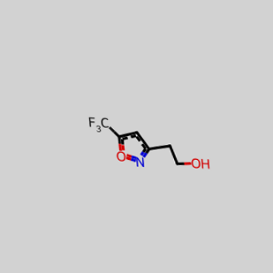 OCCc1cc(C(F)(F)F)on1